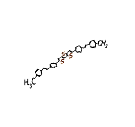 Cc1ccc(/C=C/c2ccc(-c3cc4sc5cc(-c6ccc(/C=C/c7ccc(C)cc7)cc6)sc5c4s3)cc2)cc1